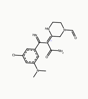 CN(C)c1cc(Cl)cc(C(=N)/C(C(N)=O)=C2/CN(C=O)CCN2)c1